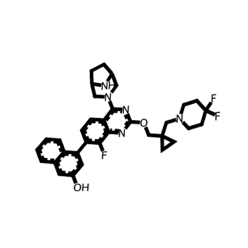 Oc1cc(-c2ccc3c(N4CC5CCC(C4)N5)nc(OCC4(CN5CCC(F)(F)CC5)CC4)nc3c2F)c2ccccc2c1